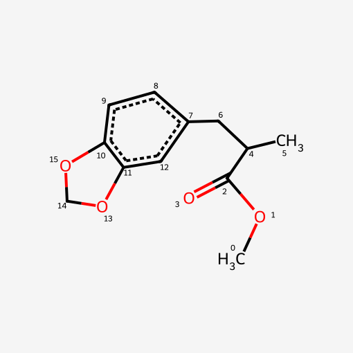 COC(=O)C(C)Cc1ccc2c(c1)OCO2